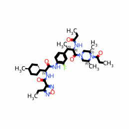 CCC(=O)N[C@@H](C(=O)N1C[C@@H](C)N(C(=O)CC)[C@@H](C)C1)[C@@H](C)c1ccc(NC(=O)[C@@H](NC(=O)c2nonc2CC)[C@H]2CC[C@H](C)CC2)c(F)c1